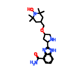 CC1(C)CC(COC2CNC(c3nc4c(C(N)=O)cccc4[nH]3)C2)CC(C)(C)N1O